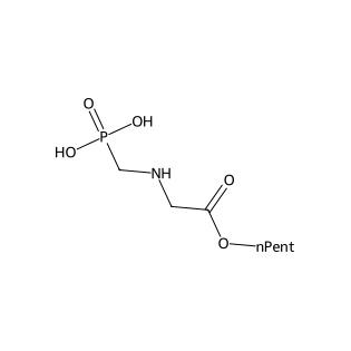 CCCCCOC(=O)CNCP(=O)(O)O